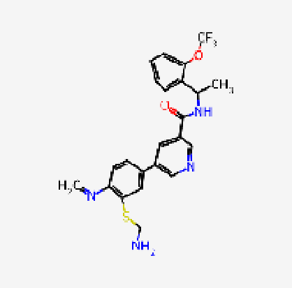 C=Nc1ccc(-c2cncc(C(=O)NC(C)c3ccccc3OC(F)(F)F)c2)cc1SCN